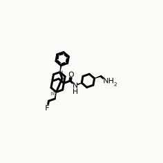 NC[C@H]1CC[C@@H](NC(=O)C23CC4C[C@@](CCF)(C2)C[C@](c2ccccc2)(C4)C3)CC1